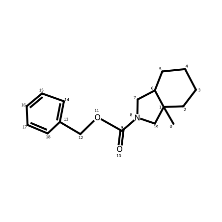 CC12CCCCC1CN(C(=O)OCc1ccccc1)C2